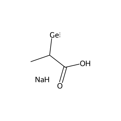 C[CH]([Ge])C(=O)O.[NaH]